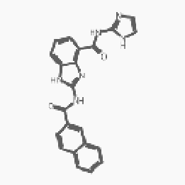 O=C(Nc1nc2c(C(=O)Nc3ncc[nH]3)cccc2[nH]1)c1ccc2ccccc2c1